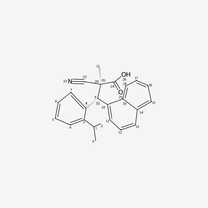 CC(C)c1ccccc1[C@@H](c1cccc2ccccc12)[C@@](C)(C#N)C(=O)O